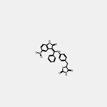 O=C1NC(=O)C(Cc2ccc(N/C(=C3\C(=O)Nc4ccc([N+](=O)[O-])cc43)c3ccccc3)cc2)S1